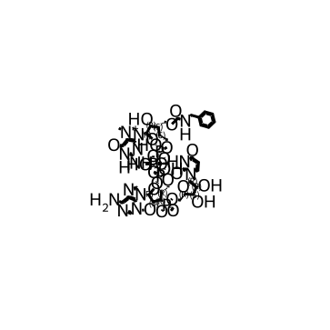 CO[C@@H]1[C@H](P(=O)([O-])OC[C@H]2O[C@@H](n3ccc(=O)[nH]c3=O)[C@H](O)[C@@H]2O)[C@@H](COP(=O)(O)OP(=O)(O)OP(=O)(O)OC[C@H]2O[C@@H](n3c[n+](C)c4c(=O)[nH]c(N)nc43)[C@H](O)[C@@H]2COC(=O)NCc2ccccc2)O[C@H]1n1cnc2c(N)ncnc21